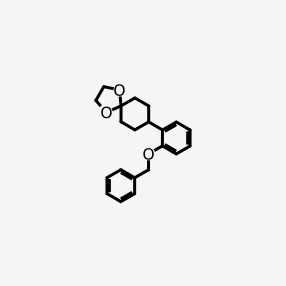 c1ccc(COc2ccccc2C2CCC3(CC2)OCCO3)cc1